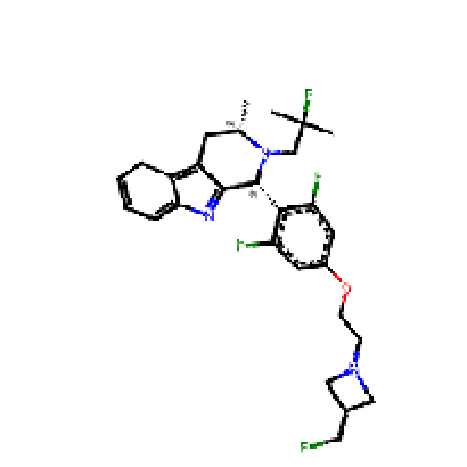 C[C@H]1CC2=C3CC=CC=C3N=C2[C@@H](c2c(F)cc(OCCN3CC(CF)C3)cc2F)N1CC(C)(C)F